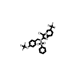 O=S(=O)(c1ccccc1)N(Cc1ccc(OC(F)(F)F)cc1)c1nc2ccc(C(F)(F)F)cn2c1Cl